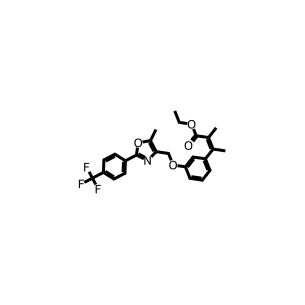 CCOC(=O)/C(C)=C(/C)c1cccc(OCc2nc(-c3ccc(C(F)(F)F)cc3)oc2C)c1